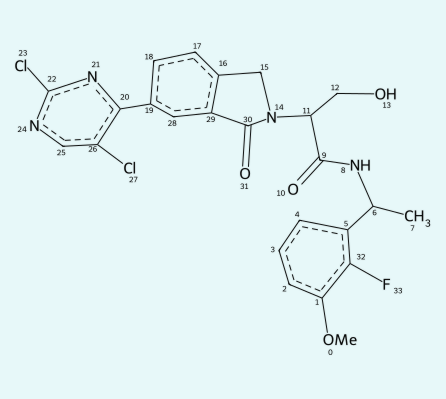 COc1cccc(C(C)NC(=O)C(CO)N2Cc3ccc(-c4nc(Cl)ncc4Cl)cc3C2=O)c1F